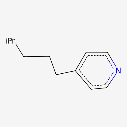 CC(C)CCCc1ccncc1